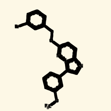 FC(F)(F)Oc1cccc(-c2cnc3ccc(OCc4cccc(Br)c4)nn23)c1